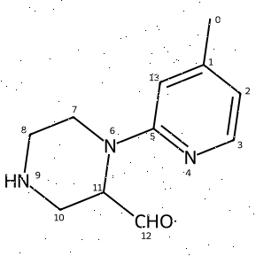 Cc1ccnc(N2CCNCC2[C]=O)c1